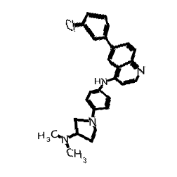 CN(C)C1CCN(c2ccc(Nc3ccnc4ccc(-c5cccc(Cl)c5)cc34)cc2)C1